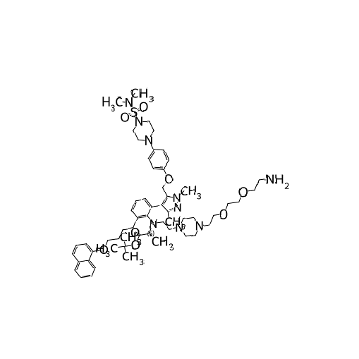 Cc1nn(C)c(COc2ccc(N3CCN(S(=O)(=O)N(C)C)CC3)cc2)c1-c1cccc(CCCCOc2cccc3ccccc23)c1N(CCN1CCN(CCOCCOCCN)CC1)[C@@H](C)C(=O)OC(C)(C)C